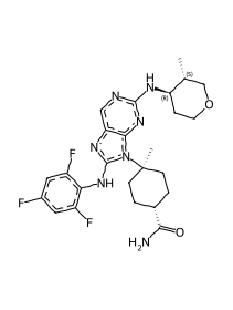 C[C@@H]1COCC[C@H]1Nc1ncc2nc(Nc3c(F)cc(F)cc3F)n([C@]3(C)CC[C@@H](C(N)=O)CC3)c2n1